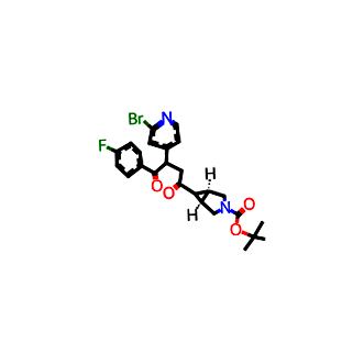 CC(C)(C)OC(=O)N1C[C@@H]2C(C(=O)CC(C(=O)c3ccc(F)cc3)c3ccnc(Br)c3)[C@@H]2C1